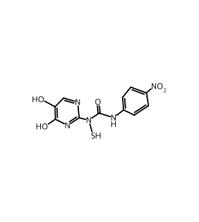 O=C(Nc1ccc([N+](=O)[O-])cc1)N(S)c1ncc(O)c(O)n1